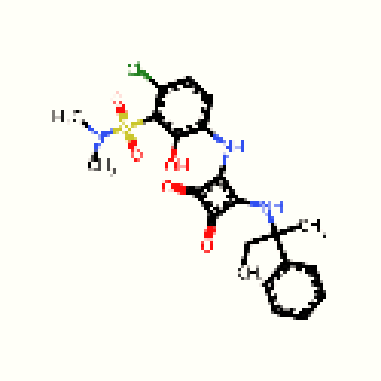 CCC(C)(Nc1c(Nc2ccc(Cl)c(S(=O)(=O)N(C)C)c2O)c(=O)c1=O)c1ccccc1